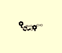 COc1cc(C=O)cc(C)c1OCCN1CCN(Cc2ccccc2)CC1